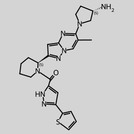 Cc1cn2nc([C@@H]3CCCCN3C(=O)c3cc(-c4cccs4)n[nH]3)cc2nc1N1CC[C@H](N)C1